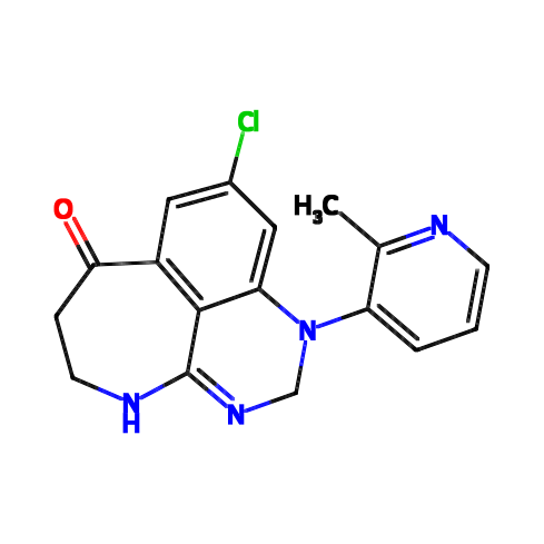 Cc1ncccc1N1CN=C2NCCC(=O)c3cc(Cl)cc1c32